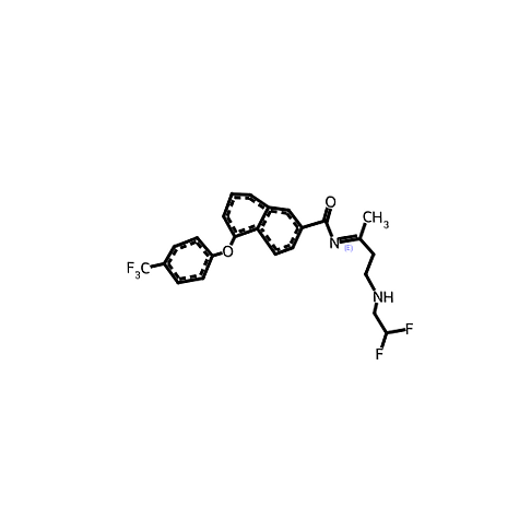 C/C(CCNCC(F)F)=N\C(=O)c1ccc2c(Oc3ccc(C(F)(F)F)cc3)cccc2c1